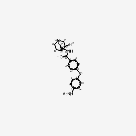 CC(=O)Nc1ccc(Sc2ccc(C(=O)N[C@H]3CN4CCC3CC4)cc2)cc1